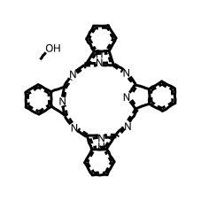 CO.c1ccc2c(c1)-c1nc-2nc2[nH]c(nc3nc(nc4[nH]c(n1)c1ccccc41)-c1ccccc1-3)c1ccccc21